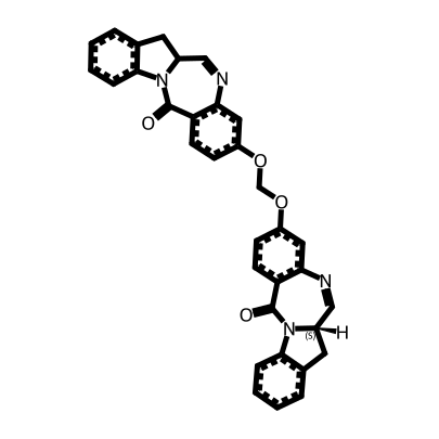 O=C1c2ccc(OCOc3ccc4c(c3)N=C[C@@H]3Cc5ccccc5N3C4=O)cc2N=CC2Cc3ccccc3N12